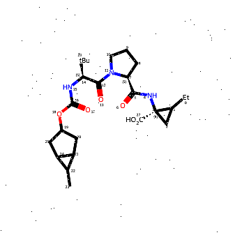 CCC1C[C@]1(NC(=O)[C@@H]1CCCN1C(=O)[C@@H](NC(=O)OC1CC2C(C)C2C1)C(C)(C)C)C(=O)O